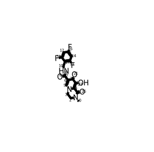 CN1CCn2cc(C(=O)NCc3c(F)cc(F)cc3F)c(=O)c(O)c2C1=O